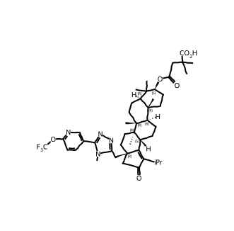 CC(C)C1=C2[C@H]3CC[C@@H]4[C@@]5(C)CC[C@H](OC(=O)CC(C)(C)C(=O)O)C(C)(C)[C@@H]5CC[C@@]4(C)[C@]3(C)CC[C@@]2(Cc2nnc(-c3ccc(OC(F)(F)F)nc3)n2C)CC1=O